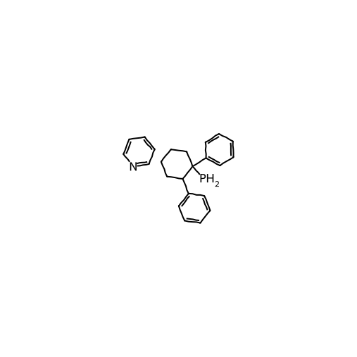 PC1(c2ccccc2)CCCCC1c1ccccc1.c1ccncc1